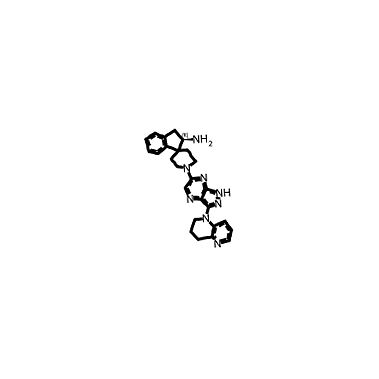 N[C@@H]1Cc2ccccc2C12CCN(c1cnc3c(N4CCCc5ncccc54)n[nH]c3n1)CC2